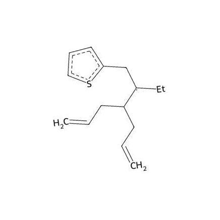 C=CCC(CC=C)[C](CC)Cc1cccs1